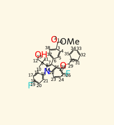 COC(=O)c1ccc(-c2c(C(C)(C)CO)n(-c3ccc(F)cc3)c3ccc(F)c(OCc4ccccc4)c23)cc1